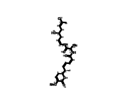 COC1=CC[C@@H]([C@@H](C)/C=C\C=C/C(=O)NC(C(=O)N/C=C\C[C@@H](O)C/C=C(\C)Cl)C(C)(C)C)OC1=O